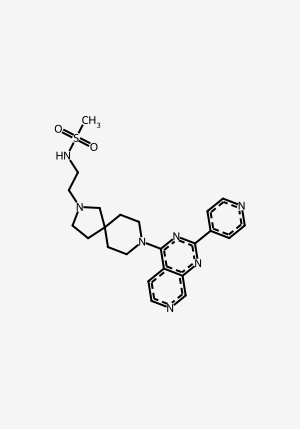 CS(=O)(=O)NCCN1CCC2(CCN(c3nc(-c4ccncc4)nc4cnccc34)CC2)C1